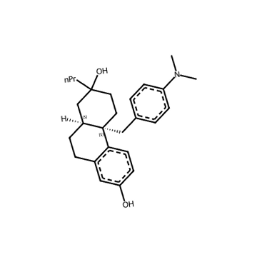 CCCC1(O)CC[C@@]2(Cc3ccc(N(C)C)cc3)c3ccc(O)cc3CC[C@H]2C1